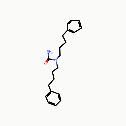 NC(=O)N(CCCCc1ccccc1)CCCCc1ccccc1